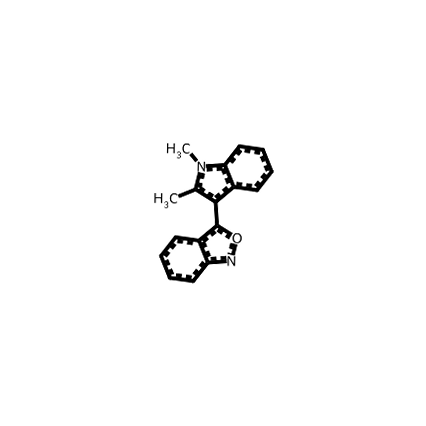 Cc1c(-c2onc3ccccc23)c2ccccc2n1C